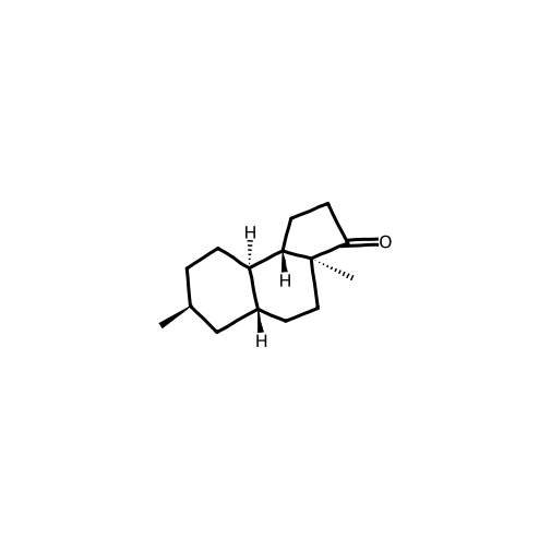 C[C@H]1CC[C@@H]2[C@H](CC[C@]3(C)C(=O)CC[C@@H]23)C1